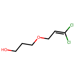 OCCCOCC=C(Cl)Cl